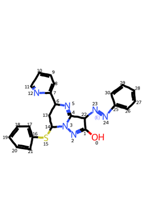 OC1=NN2C(=NC(c3ccccn3)CC2Sc2ccccc2)C1/N=N/c1ccccc1